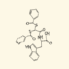 O=C(SC(SC(=O)c1ccccc1)C(=O)NC(Cc1c[nH]c2ccccc12)C(=O)O)c1ccccc1